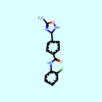 O=C(Nc1ccccc1F)c1ccc(C2N=C(C(F)(F)F)ON2)cc1